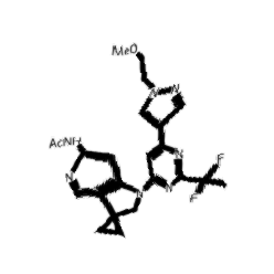 COCCn1cc(-c2cc(N3CC4(CC4)c4cnc(NC(C)=O)cc43)nc(C(C)(F)F)n2)cn1